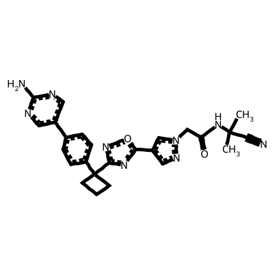 CC(C)(C#N)NC(=O)Cn1cc(-c2nc(C3(c4ccc(-c5cnc(N)nc5)cc4)CCC3)no2)cn1